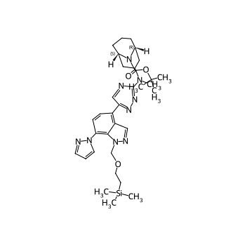 CN(c1ncc(-c2ccc(-n3cccn3)c3c2cnn3COCC[Si](C)(C)C)nn1)C1C[C@H]2CCC[C@@H](C1)N2C(=O)OC(C)(C)C